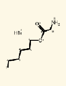 Br.CCCCCCOC(=O)CN